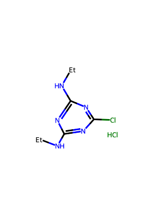 CCNc1nc(Cl)nc(NCC)n1.Cl